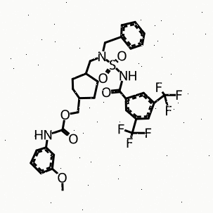 COc1cccc(NC(=O)OCC2CCC(CN(Cc3ccccc3)S(=O)(=O)NC(=O)c3cc(C(F)(F)F)cc(C(F)(F)F)c3)CC2)c1